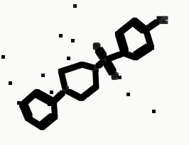 [C-]#[N+]c1ccc(S(=O)(=O)N2CCN(c3ccccc3)CC2)cc1